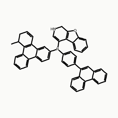 CC1CC=Cc2c1c1ccccc1c1ccc(N(C3=CNCc4oc5ccccc5c43)c3ccc(-c4cc5ccccc5c5ccccc45)cc3)cc21